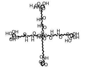 CC(=O)N[C@@H]1C[C@@H](O)CO[C@H]1OCCCCC(=O)NCCCNC(=O)CCOCC(COCCC(=O)NCCCNC(=O)CCCCO[C@H]1C[C@@H](O)[C@@H](O)[C@@H](CO)O1)(COCCC(=O)NCCCNC(=O)CCCCO[C@H]1C[C@@H](O)[C@@H](O)[C@@H](CO)O1)NC(=O)CCCCCCCCCCC(=O)NCCN1C(=O)C=CC1=O